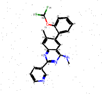 CNc1nc(-c2cccnc2)nc2cc(C)c(-c3ccccc3OC(F)F)cc12